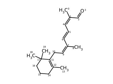 CC(C=O)=CC=CC(C)=CCC1=C(C)CCCC1(C)C